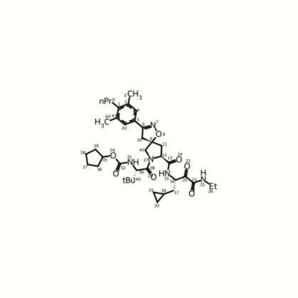 CCCc1c(C)cc(C2=NO[C@]3(C2)C[C@@H](C(=O)N[C@@H](CC2CC2)C(=O)C(=O)NCC)N(C(=O)[C@@H](NC(=O)OC2CCCC2)C(C)(C)C)C3)cc1C